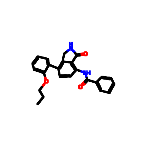 CCCOc1ccccc1-c1ccc(NC(=O)c2ccccc2)c2c1CNC2=O